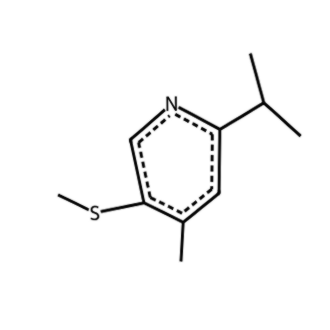 CSc1cnc(C(C)C)cc1C